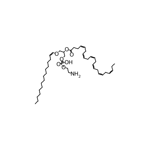 CC/C=C\C/C=C\C/C=C\C/C=C\C/C=C\C/C=C\CCC(=O)OC(CO/C=C\CCCCCCCCCCCCCC)COP(=O)(O)OCCN